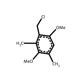 COc1cc(C)c(OC)c(C)c1CCl